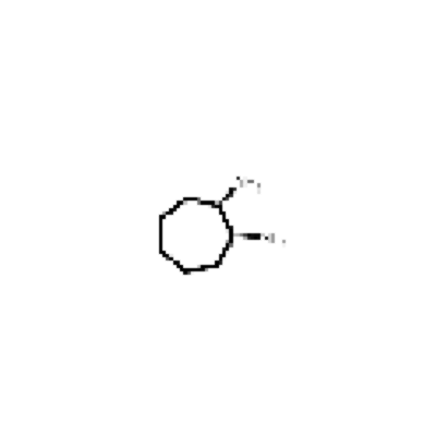 N[C@@H]1CCCCC[C@@H]1N